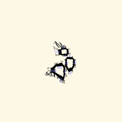 C1=C\C=C/C=C\C=C/1.C1=C\C=C/C=C\C=C/1.C1=C\C=C/C=C\C=C/1.[Mn].[Mn]